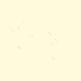 Cn1ncc(C(=O)N2CCC2)c1C(=O)NCCc1nc(-c2ccccc2)nn1-c1cccnc1